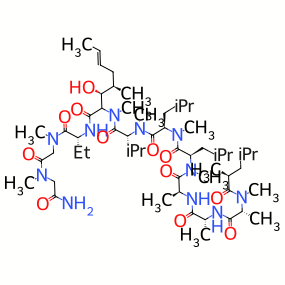 C/C=C/C[C@@H](C)[C@H](O)C(C(=O)N[C@H](CC)C(=O)N(C)CC(=O)N(C)CC(N)=O)N(C)C(=O)[C@@H](C(C)C)N(C)C(=O)[C@@H](CC(C)C)N(C)C(=O)[C@@H](CC(C)C)N(C)C(=O)[C@H](C)NC(=O)[C@@H](C)NC(=O)[C@@H](C)N(C)C(=O)[C@@H](C)CC(C)C